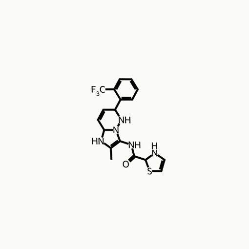 CC1=C(NC(=O)C2NC=CS2)N2NC(c3ccccc3C(F)(F)F)C=CC2N1